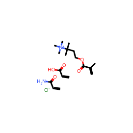 C=C(C)C(=O)OCCC(C)(C)[N+](C)(C)C.C=CC(=O)O.C=CC(N)=O.[Cl-]